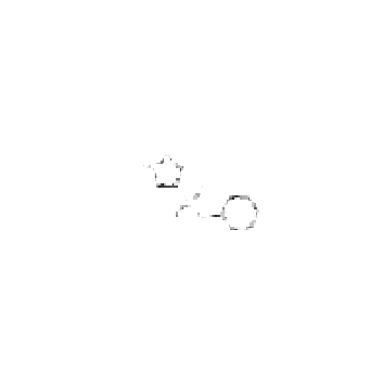 CCn1cc(S(=O)(=O)Nc2ccccc2)cn1